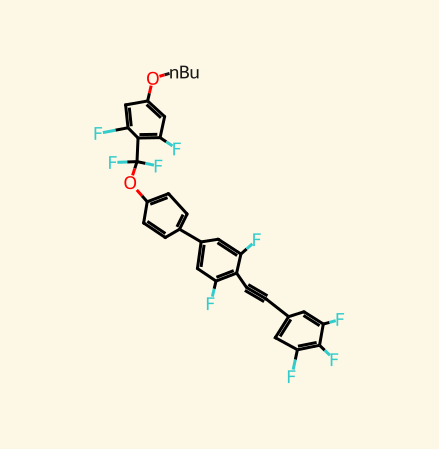 CCCCOc1cc(F)c(C(F)(F)Oc2ccc(-c3cc(F)c(C#Cc4cc(F)c(F)c(F)c4)c(F)c3)cc2)c(F)c1